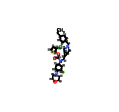 CCc1ccc(CN2CC3C(C2)C3CN(C(=O)Oc2sccc2Cl)c2ccc(N3CCOCC3)c(F)c2)cc1